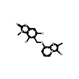 Cc1nc2c(OCc3c(Cl)cc4sc(=O)n(C)c4c3Cl)cccn2c1Br